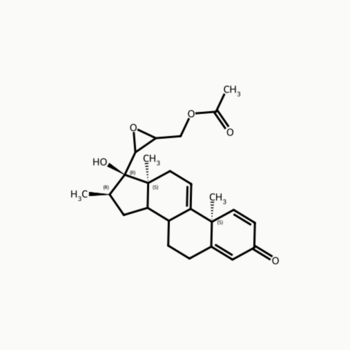 CC(=O)OCC1OC1[C@@]1(O)[C@H](C)CC2C3CCC4=CC(=O)C=C[C@]4(C)C3=CC[C@@]21C